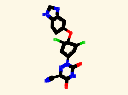 N#Cc1nn(-c2cc(Cl)c(Oc3ccc4[nH]cnc4c3)c(Cl)c2)c(=O)[nH]c1=O